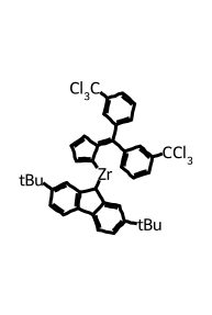 CC(C)(C)c1ccc2c(c1)[CH]([Zr][C]1=CC=CC1=C(c1cccc(C(Cl)(Cl)Cl)c1)c1cccc(C(Cl)(Cl)Cl)c1)c1cc(C(C)(C)C)ccc1-2